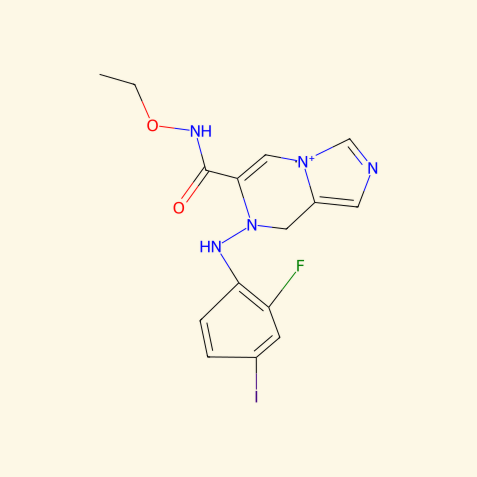 CCONC(=O)C1=C[N+]2C=NC=C2CN1Nc1ccc(I)cc1F